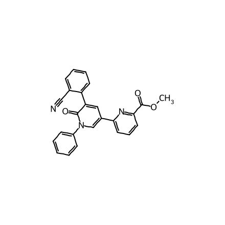 COC(=O)c1cccc(-c2cc(-c3ccccc3C#N)c(=O)n(-c3ccccc3)c2)n1